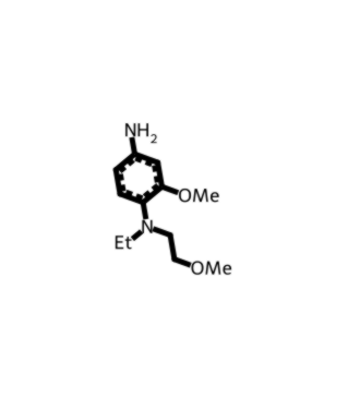 CCN(CCOC)c1ccc(N)cc1OC